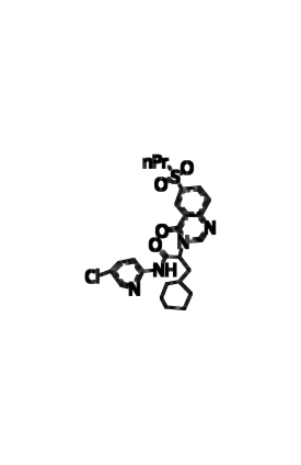 CCCS(=O)(=O)c1ccc2ncn(C(CC3CCCCC3)C(=O)Nc3ccc(Cl)cn3)c(=O)c2c1